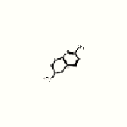 O=C(O)C1CCc2nc(C(F)(F)F)ccc2C1